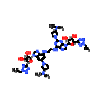 CCn1nnc([C@H]2OC(n3cnc4c(NCCNc5cc(N6CC[C@@H](N(C)C)C6)cc6c5ncn6[C@@H]5O[C@H](c6nnn(CC)n6)[C@@H](O)[C@H]5O)nc(N5CC[C@@H](N(C)C)C5)nc43)[C@H](O)[C@@H]2O)n1